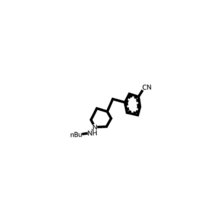 CCCCNN1CCC(Cc2cccc(C#N)c2)CC1